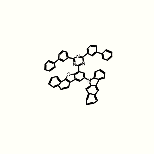 c1ccc(-c2cccc(-c3nc(-c4cccc(-c5ccccc5)c4)nc(-c4cc(-n5c6ccccc6c6cc7ccccc7cc65)cc5c4oc4c6ccccc6ccc54)n3)c2)cc1